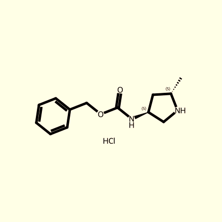 C[C@H]1C[C@H](NC(=O)OCc2ccccc2)CN1.Cl